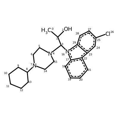 CC(O)C(N1CCN(C2CCCCC2)CC1)n1c2ccccc2c2cc(Cl)ccc21